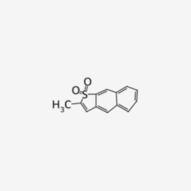 CC1=Cc2cc3ccccc3cc2S1(=O)=O